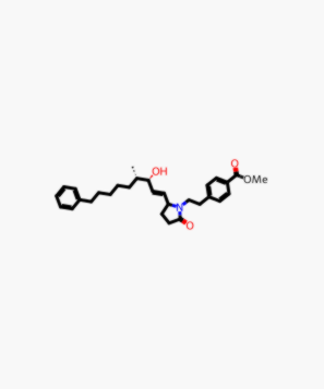 COC(=O)c1ccc(CCN2C(=O)CCC2C=C[C@@H](O)[C@@H](C)CCCCCc2ccccc2)cc1